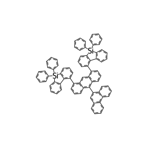 c1ccc([Si]2(c3ccccc3)c3ccccc3-c3c(-c4cccc5c(-c6cc7ccccc7c7ccccc67)c6cccc(-c7cccc8c7-c7ccccc7[Si]8(c7ccccc7)c7ccccc7)c6cc45)cccc32)cc1